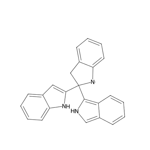 c1ccc2c(c1)CC(c1cc3ccccc3[nH]1)(c1[nH]cc3ccccc13)[N]2